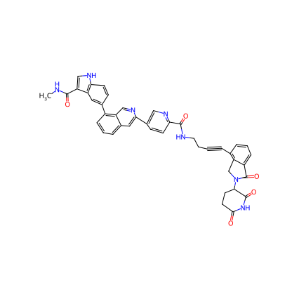 CNC(=O)c1c[nH]c2ccc(-c3cccc4cc(-c5ccc(C(=O)NCCC#Cc6cccc7c6CN(C6CCC(=O)NC6=O)C7=O)nc5)ncc34)cc12